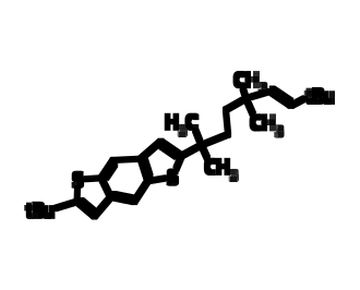 CC(C)(C)/C=C/C(C)(C)CCC(C)(C)c1cc2cc3sc(C(C)(C)C)cc3cc2s1